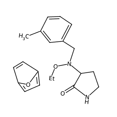 CCON(Cc1cccc(C)c1)C1CCNC1=O.c1cc2ccc1o2